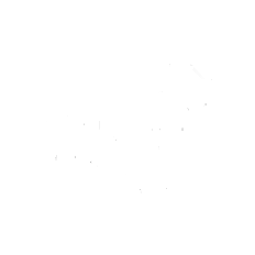 CCC(CC)(Pc1ccccc1C(C)=O)c1ccccc1OCc1ccccc1